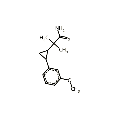 COc1cccc(C2CC2C(C)(C)C(N)=S)c1